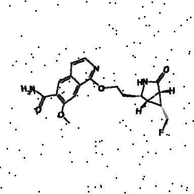 COc1cc2c(OCC[C@H]3NC(=O)[C@@H]4[C@H](CF)[C@@H]43)nccc2cc1C(N)=O